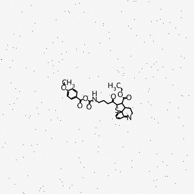 CCOC(=O)C1C(C(=O)CCCNC(=O)OC(=O)c2ccc(OC)cc2)SC23C=CC=CC2=NCCC13